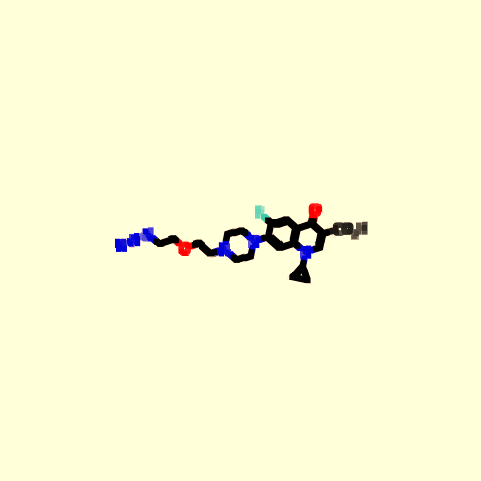 [N-]=[N+]=NCCOCCN1CCN(c2cc3c(cc2F)c(=O)c(C(=O)O)cn3C2CC2)CC1